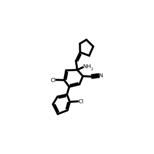 N#CC1C=C(c2ccccc2Cl)C(Cl)=CC1(N)C=C1CCCC1